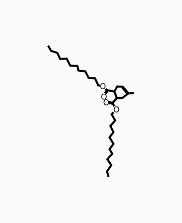 CCCCCCCCCCCCOC(=O)C1CC=C(C)CC1C(=O)OCCCCCCCCCCCC